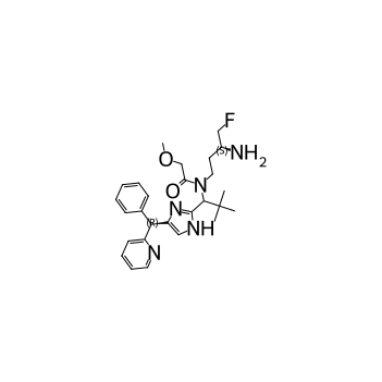 COCC(=O)N(CC[C@H](N)CF)C(c1nc([C@H](c2ccccc2)c2ccccn2)c[nH]1)C(C)(C)C